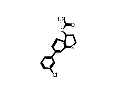 NC(=O)OC1CCSc2cc(-c3cccc(Cl)c3)ccc21